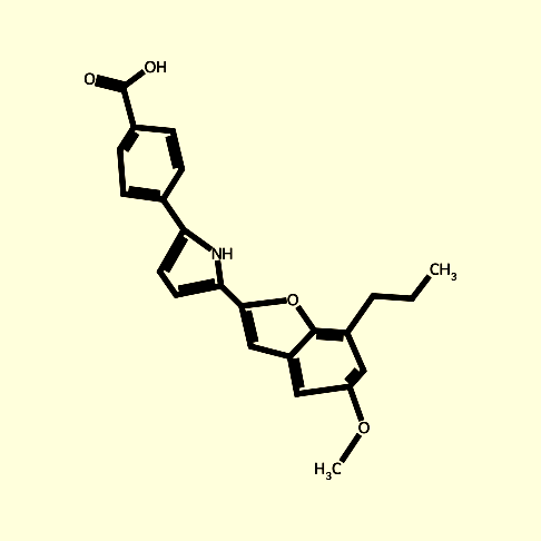 CCCc1cc(OC)cc2cc(-c3ccc(-c4ccc(C(=O)O)cc4)[nH]3)oc12